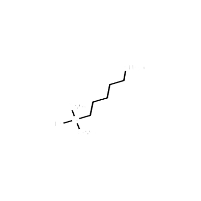 CCCCCCCCCCCC[Si](Br)(OC)OC